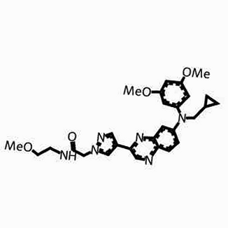 COCCNC(=O)Cn1cc(-c2cnc3ccc(N(CC4CC4)c4cc(OC)cc(OC)c4)cc3n2)cn1